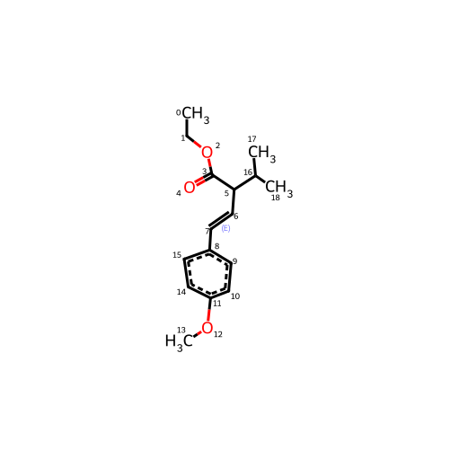 CCOC(=O)C(/C=C/c1ccc(OC)cc1)C(C)C